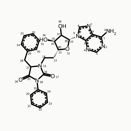 Nc1ncnc2c1ncn2[C@@H]1O[C@H](CCN2C(=O)N(c3ccccc3)C(=O)C2Cc2ccccc2)[C@@H](O)C1O